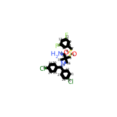 NCC1(CS(=O)(=O)Cc2cc(F)cc(F)c2)CN(C(c2ccc(Cl)cc2)c2ccc(Cl)cc2)C1